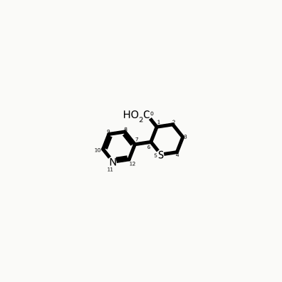 O=C(O)C1CCCSC1c1cccnc1